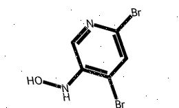 ONc1cnc(Br)cc1Br